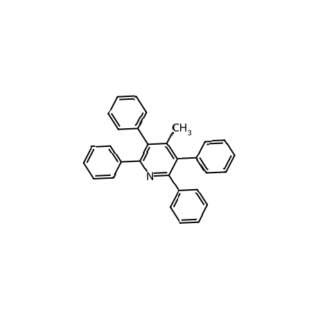 Cc1c(-c2ccccc2)c(-c2ccccc2)nc(-c2ccccc2)c1-c1ccccc1